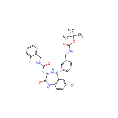 CC(C)(C)OC(=O)NCc1cccc([C@H]2N[C@@H](CC(=O)NCc3ccccc3F)C(=O)Nc3ccc(Cl)cc32)c1